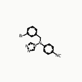 [C-]#[N+]c1ccc(N(Cc2cccc(Br)c2)n2cnnc2)cc1